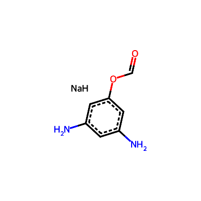 Nc1cc(N)cc(OC=O)c1.[NaH]